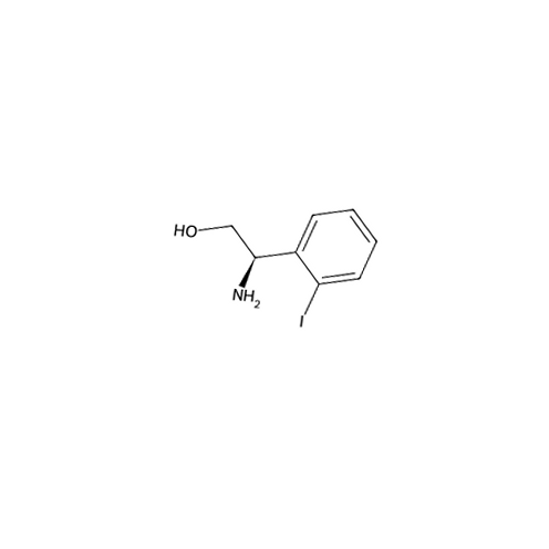 N[C@@H](CO)c1ccccc1I